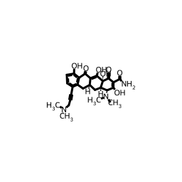 CN(C)CC#Cc1ccc(O)c2c1C[C@@H]1C[C@@H]3[C@@H](N(C)C)C(O)=C(C(N)=O)C(=O)[C@]3(O)C(O)=C1C2=O